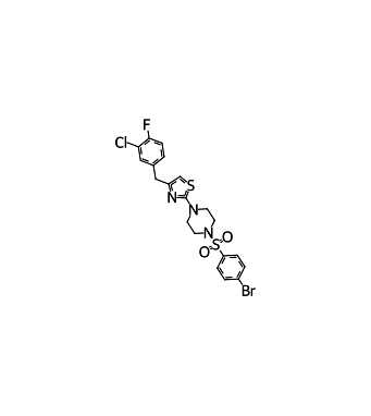 O=S(=O)(c1ccc(Br)cc1)N1CCN(c2nc(Cc3ccc(F)c(Cl)c3)cs2)CC1